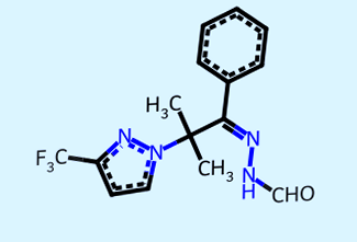 CC(C)(C(=NNC=O)c1ccccc1)n1ccc(C(F)(F)F)n1